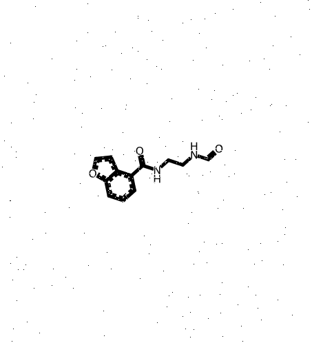 O=CNCCNC(=O)c1cccc2occc12